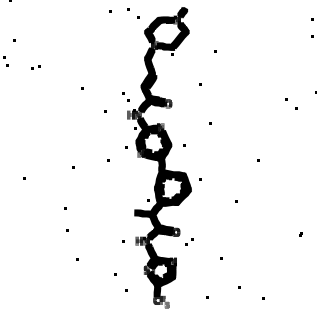 CC(C(=O)Nc1ncc(C(F)(F)F)s1)c1cccc(-c2cnc(NC(=O)/C=C/CN3CCN(C)CC3)cn2)c1